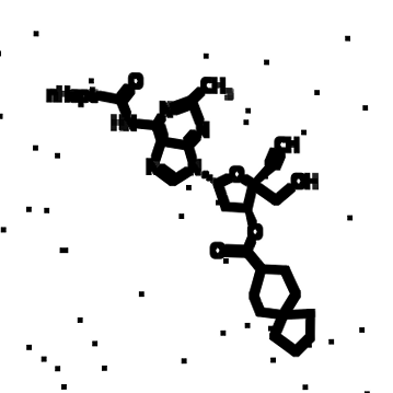 C#C[C@]1(CO)O[C@@H](n2cnc3c(NC(=O)CCCCCCC)nc(C)nc32)C[C@@H]1OC(=O)C1CCC2(CCCC2)CC1